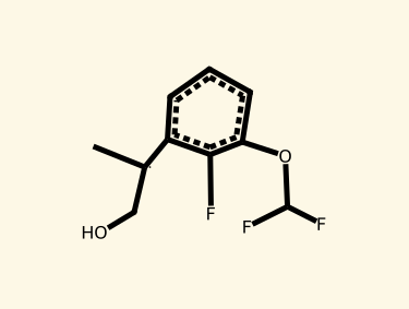 C[C](CO)c1cccc(OC(F)F)c1F